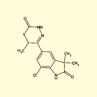 CC1SC(=O)NN=C1c1cc(Cl)c2c(c1)C(C)(C)C(=O)N2